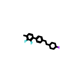 Cc1ccc(-c2ccc(CCC3CCC(I)CC3)cc2)c(F)c1F